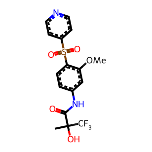 COc1cc(NC(=O)C(C)(O)C(F)(F)F)ccc1S(=O)(=O)c1ccncc1